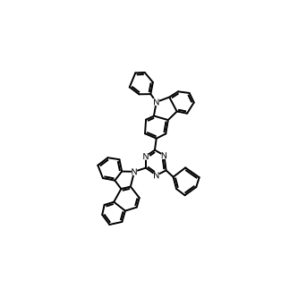 c1ccc(-c2nc(-c3ccc4c(c3)c3ccccc3n4-c3ccccc3)nc(-n3c4ccccc4c4c5ccccc5ccc43)n2)cc1